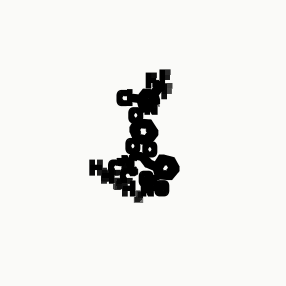 CCN(CC)C(=O)C(Cc1ccccc1S(N)(=O)=O)Oc1ccc(Oc2ncc(C(F)(F)F)cc2Cl)cc1